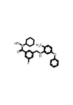 CCCN(C(=O)c1cc(F)cc(CNc2cc(Oc3ccccc3)ccc2C)c1)C1CCCCC1